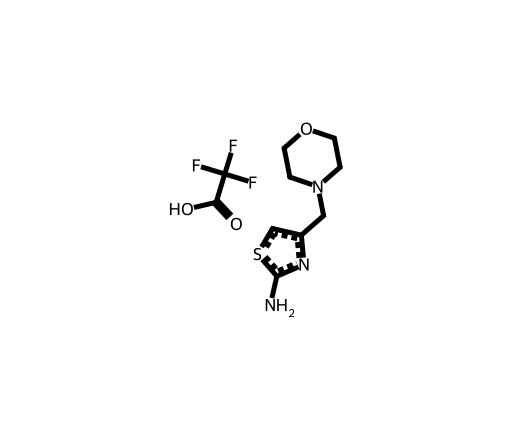 Nc1nc(CN2CCOCC2)cs1.O=C(O)C(F)(F)F